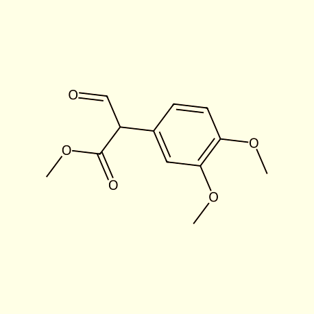 COC(=O)C(C=O)c1ccc(OC)c(OC)c1